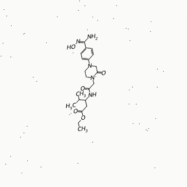 CCOC(=O)CC(NC(=O)CN1CCN(c2ccc(/C(N)=N\O)cc2)CC1=O)C(C)C